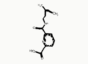 CC(C)CNC(=O)c1cccc(C(=O)O)n1